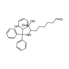 O=CCCCCCC(NC(c1ccccc1)(c1ccccc1)C1C=CC=CC1=O)C(=O)O